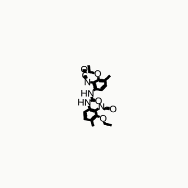 CCOc1c(C)ccc(NC(=O)Nc2ccc(C)c(OCC)c2N=C=O)c1N=C=O